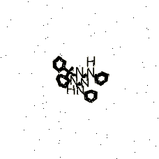 [CH2]C(c1ccccc1)(c1ccccc1)c1nc(Nc2ccccc2)nc(Nc2ccccc2)n1